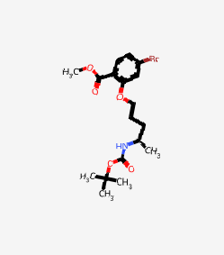 COC(=O)c1ccc(Br)cc1OCCC[C@@H](C)NC(=O)OC(C)(C)C